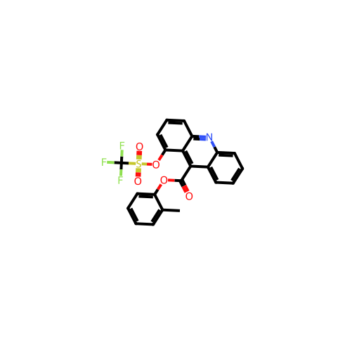 Cc1ccccc1OC(=O)c1c2ccccc2nc2cccc(OS(=O)(=O)C(F)(F)F)c12